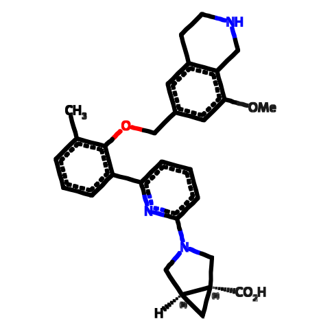 COc1cc(COc2c(C)cccc2-c2cccc(N3C[C@@H]4C[C@]4(C(=O)O)C3)n2)cc2c1CNCC2